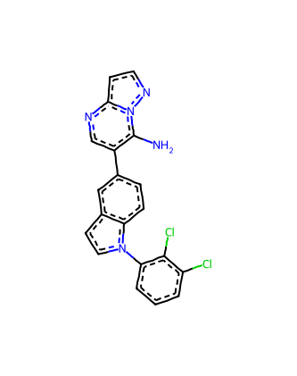 Nc1c(-c2ccc3c(ccn3-c3cccc(Cl)c3Cl)c2)cnc2ccnn12